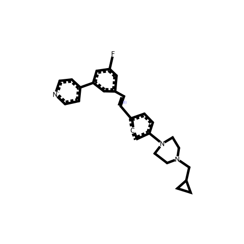 Fc1cc(/C=C/c2ccc(N3CCN(CC4CC4)CC3)cc2)cc(-c2ccncc2)c1